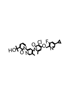 Cc1cnc(-n2cccc(C(C)(C)O)c2=O)cc1-n1c(C)cc(OCc2ncc(C3CC3)cc2F)c(Cl)c1=O